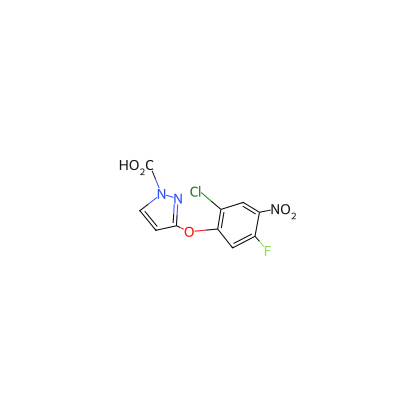 O=C(O)n1ccc(Oc2cc(F)c([N+](=O)[O-])cc2Cl)n1